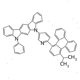 CC(C)c1ccc(-c2ccc(-n3c4ccccc4c4cc5c6ccccc6n(-c6ccccc6)c5cc43)cn2)c2c3ccccc3c3ccccc3c12